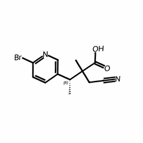 C[C@H](c1ccc(Br)nc1)C(C)(CC#N)C(=O)O